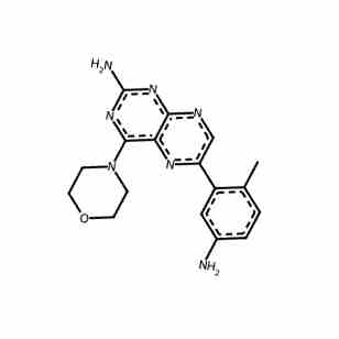 Cc1ccc(N)cc1-c1cnc2nc(N)nc(N3CCOCC3)c2n1